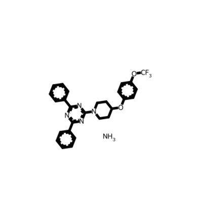 FC(F)(F)Oc1ccc(OC2CCN(c3nc(-c4ccccc4)nc(-c4ccccc4)n3)CC2)cc1.N